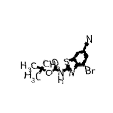 CC(C)(C)OC(=O)Nc1nc2c(Br)cc(C#N)cc2s1